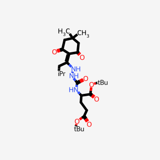 CC(C)CC(NNC(=O)NC(CCC(=O)OC(C)(C)C)C(=O)OC(C)(C)C)=C1C(=O)CC(C)(C)CC1=O